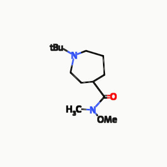 CON(C)C(=O)C1CCCN(C(C)(C)C)CC1